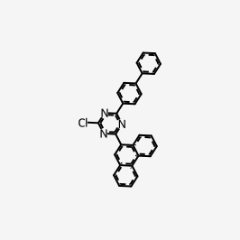 Clc1nc(-c2ccc(-c3ccccc3)cc2)nc(-c2cc3ccccc3c3ccccc23)n1